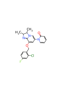 CC1N=C2C(OCc3ccc(F)cc3Cl)=CC(n3ccccc3=O)=CN2C1C